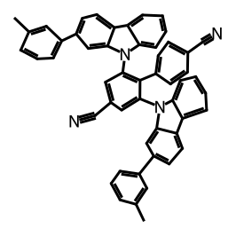 Cc1cccc(-c2ccc3c4ccccc4n(-c4cc(C#N)cc(-n5c6ccccc6c6ccc(-c7cccc(C)c7)cc65)c4-c4ccc(C#N)cc4)c3c2)c1